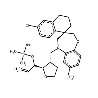 C=CC(O[Si](C)(C)C(C)(C)C)[C@@H]1OCC[C@H]1CN1C[C@@]2(CCCc3cc(Cl)ccc32)COc2ccc(C(=O)O)cc21